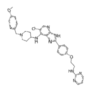 COc1ccc(CN2CCC(Nc3c(Cl)cnc4[nH]c(-c5ccc(OCCNc6ncccn6)cc5)nc34)CC2)cc1